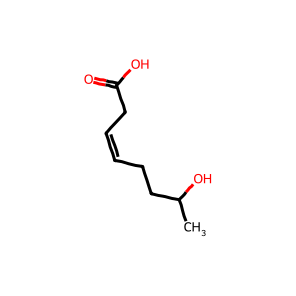 CC(O)CC/C=C\CC(=O)O